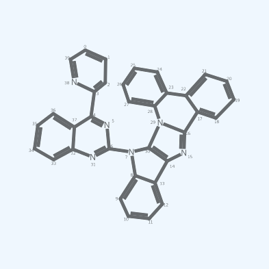 c1ccc(-c2nc(-n3c4ccccc4c4nc5c6ccccc6c6ccccc6n5c43)nc3ccccc23)nc1